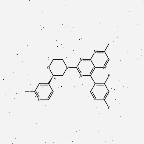 Cc1cc([C@@H]2CN(c3nc(-c4ccc(F)cc4F)c4ncc(C)nc4n3)CCO2)ccn1